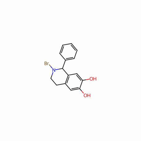 Oc1cc2c(cc1O)C(c1ccccc1)N(Br)CC2